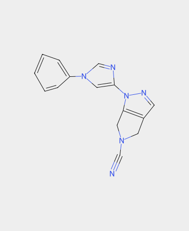 N#CN1Cc2cnn(-c3cn(-c4ccccc4)cn3)c2C1